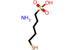 N.O=S(=O)(O)CCCCCS